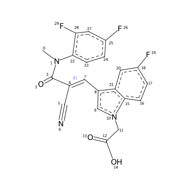 CN(C(=O)/C(C#N)=C/c1cn(CC(=O)O)c2ccc(F)cc12)c1ccc(F)cc1F